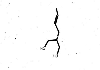 CC=CCC(CO)CO